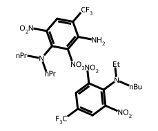 CCCCN(CC)c1c([N+](=O)[O-])cc(C(F)(F)F)cc1[N+](=O)[O-].CCCN(CCC)c1c([N+](=O)[O-])cc(C(F)(F)F)c(N)c1[N+](=O)[O-]